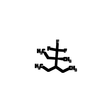 CCC(CC)[C@](C)(CC)C(F)(F)F